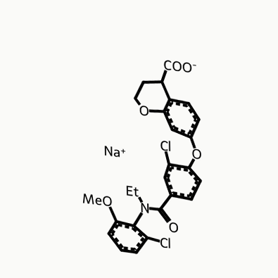 CCN(C(=O)c1ccc(Oc2ccc3c(c2)OCCC3C(=O)[O-])c(Cl)c1)c1c(Cl)cccc1OC.[Na+]